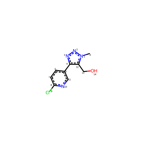 Cn1nnc(-c2ccc(Cl)nc2)c1CO